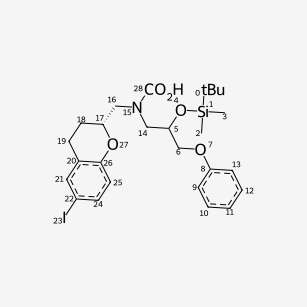 CC(C)(C)[Si](C)(C)OC(COc1ccccc1)CN(C[C@H]1CCc2cc(I)ccc2O1)C(=O)O